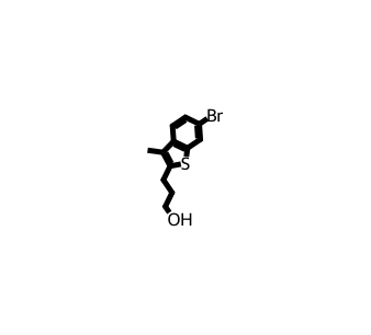 Cc1c(CCCO)sc2cc(Br)ccc12